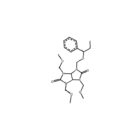 CCC(OCN1C(=O)N(COC)C2C1N(COC)C(=O)N2COC)c1ccccc1